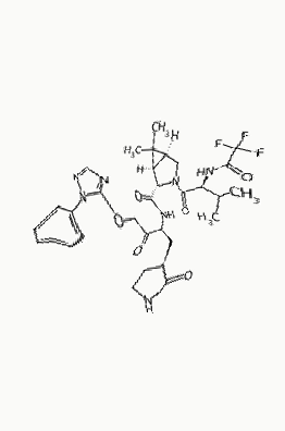 CC(C)[C@H](NC(=O)C(F)(F)F)C(=O)N1C[C@H]2[C@@H]([C@H]1C(=O)N[C@@H](C[C@@H]1CCNC1=O)C(=O)COc1ncnn1-c1ccccc1)C2(C)C